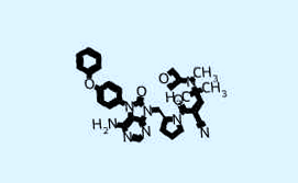 CN(C1COC1)C(C)(C)/C=C(/C#N)C(=O)N1CCC[C@H]1Cn1c(=O)n(-c2ccc(Oc3ccccc3)cc2)c2c(N)ncnc21